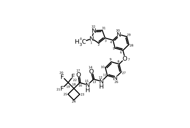 Cn1cc(-c2cc(Oc3ccc(NC(=O)NC(=O)C4(C(F)(F)F)CCC4)nc3)ccn2)cn1